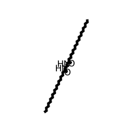 CCCCCCCCCCCCCCCCCCCC(=O)NCNC(=O)CCCCCCCCCCCCCCCCCCC